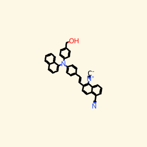 [C-]#[N+]c1c(C=Cc2ccc(N(c3ccc(CO)cc3)c3cccc4ccccc34)cc2)ccc2c(C#N)cccc12